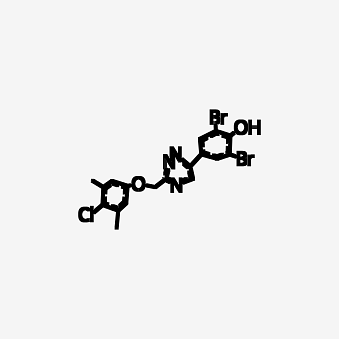 Cc1cc(OCc2ncc(-c3cc(Br)c(O)c(Br)c3)nn2)cc(C)c1Cl